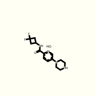 Cl.O=C(NC1CC(F)(F)C1)c1ccc(N2CCNCC2)cn1